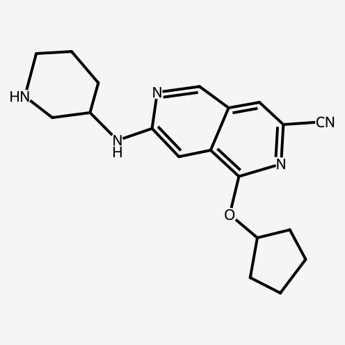 N#Cc1cc2cnc(NC3CCCNC3)cc2c(OC2CCCC2)n1